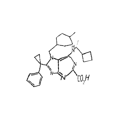 CC1CCC(Cn2c(C3(c4ccccc4)CC3)nc3nc(C(=O)O)nc(N[C@H](C)C4CCC4)c32)CC1